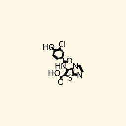 O=C(Nc1c(C(=O)O)sc2nccnc12)c1ccc(O)c(Cl)c1